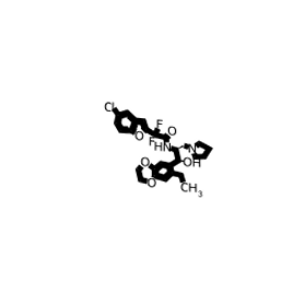 CCc1cc2c(cc1[C@@H](O)[C@@H](CN1CCCC1)NC(=O)C(F)(F)c1cc3cc(Cl)ccc3o1)OCCO2